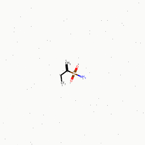 C=C(CC(F)(F)F)S(N)(=O)=O